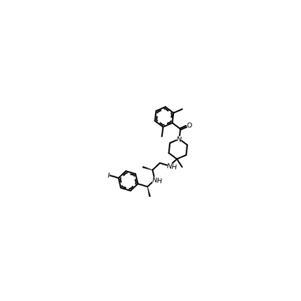 Cc1cccc(C)c1C(=O)N1CCC(C)(NC[C@H](C)N[C@@H](C)c2ccc(I)cc2)CC1